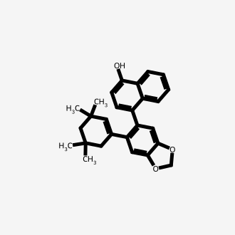 CC1(C)C=C(c2cc3c(cc2-c2ccc(O)c4ccccc24)OCO3)CC(C)(C)C1